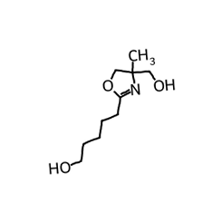 CC1(CO)COC(CCCCCO)=N1